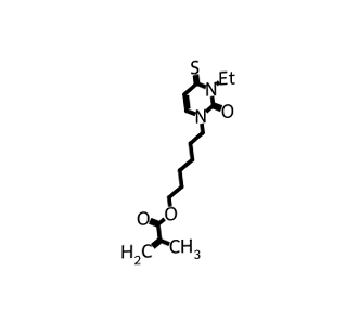 C=C(C)C(=O)OCCCCCCn1ccc(=S)n(CC)c1=O